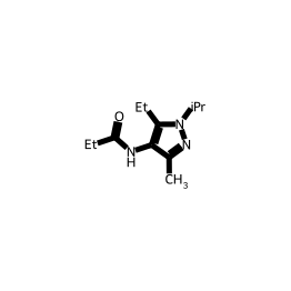 CCC(=O)Nc1c(C)nn(C(C)C)c1CC